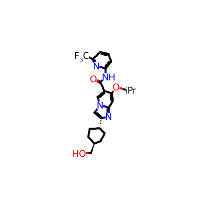 CC(C)Oc1cc2nc([C@H]3CC[C@H](CO)CC3)cn2cc1C(=O)Nc1cccc(C(F)(F)F)n1